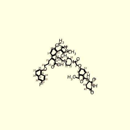 CCc1cc(OCC(=O)N2CCN(CCn3c(C(=O)O)c(CCCOc4cccc5cc(F)ccc45)c4ccc(Cl)c(-c5c(C)nn(C)c5C)c43)CC2)ccc1C(=O)NC1CCC(=O)NC1=O